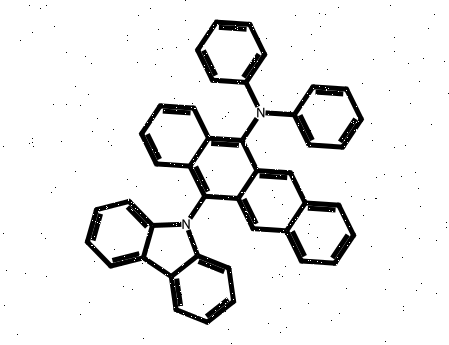 c1ccc(N(c2ccccc2)c2c3ccccc3c(-n3c4ccccc4c4ccccc43)c3cc4ccccc4cc23)cc1